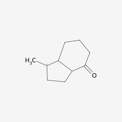 C[C]1CCC2C(=O)CCCC12